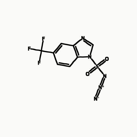 [N-]=[N+]=NS(=O)(=O)n1cnc2cc(C(F)(F)F)ccc21